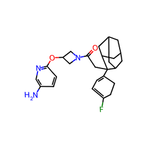 Nc1ccc(OC2CN(C(=O)CC3(C4=CC=C(F)CC4)C4CC5CC(C4)CC3C5)C2)nc1